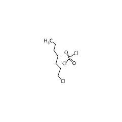 CCCCCCCCl.O=S(=O)(Cl)Cl